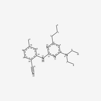 CCCc1cc(N(CC)CC)nc(Nc2cc(C)ccc2C#N)n1